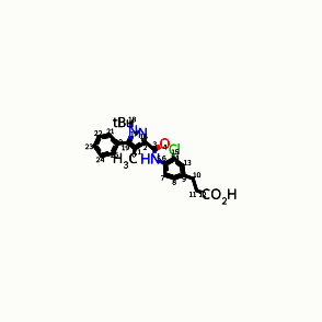 Cc1c(C(=O)Nc2ccc(CCC(=O)O)cc2Cl)nn(C(C)(C)C)c1-c1ccccc1